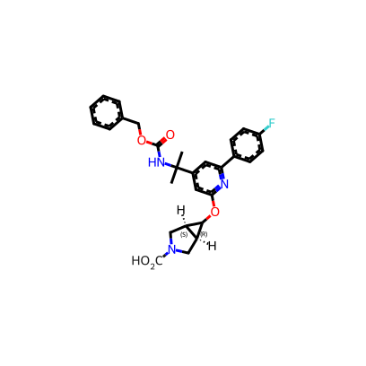 CC(C)(NC(=O)OCc1ccccc1)c1cc(OC2[C@H]3CN(C(=O)O)C[C@@H]23)nc(-c2ccc(F)cc2)c1